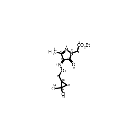 CCOC(=O)CN1N=C(C)C(=NOCC2CC2(Cl)Cl)C1=O